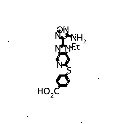 CCn1c(-c2nonc2N)nc2cnc(Sc3ccc(C(=O)O)cc3)cc21